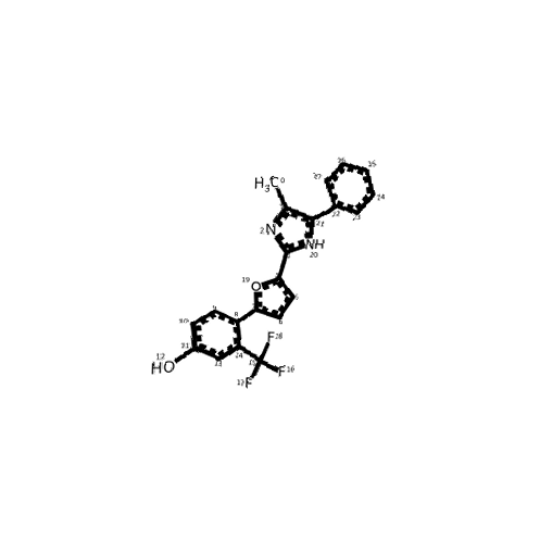 Cc1nc(-c2ccc(-c3ccc(O)cc3C(F)(F)F)o2)[nH]c1-c1ccccc1